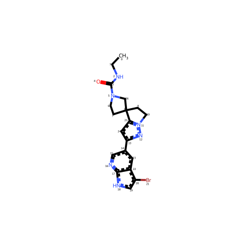 CCNC(=O)N1CCC2(CCn3nc(-c4cnc5[nH]cc(Br)c5c4)cc32)C1